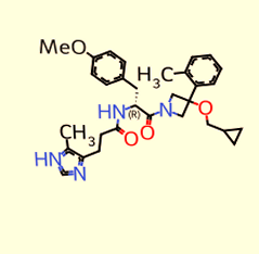 COc1ccc(C[C@@H](NC(=O)CCc2nc[nH]c2C)C(=O)N2CC(OCC3CC3)(c3ccccc3C)C2)cc1